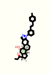 CCC(=O)[C@@]1(C)[C@@H](C)C[C@H]2[C@@H]3CCC4=Cc5c(cnn5-c5cccc(/C=C/c6ccc(C)cc6)c5)C[C@]4(C)[C@@]3(Cl)[C@@H](O)C[C@@]21C